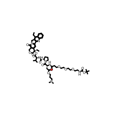 CCc1c2c(nc3ccccc13)-c1cc3c(c(=O)n1C2)COC(=O)[C@@]3(CC)OC(=O)[C@@H](NC(=O)[C@@H]1CCCN1C(=O)[C@H](CC(=O)OCCCN(C)C)NC(=O)CCOCCOCCOCCNC(=O)OC(C)(C)C)C(C)C